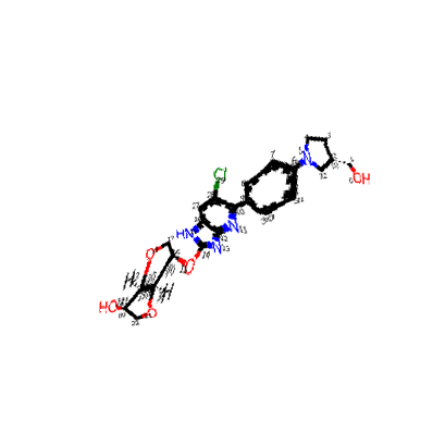 OC[C@H]1CCN(c2ccc(-c3nc4nc(O[C@@H]5CO[C@H]6[C@@H]5OC[C@H]6O)[nH]c4cc3Cl)cc2)C1